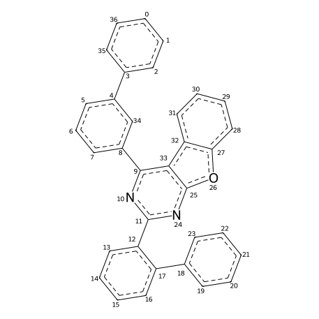 c1ccc(-c2cccc(-c3nc(-c4ccccc4-c4ccccc4)nc4oc5ccccc5c34)c2)cc1